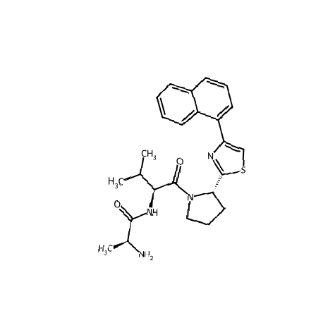 CC(C)[C@H](NC(=O)[C@H](C)N)C(=O)N1CCC[C@H]1c1nc(-c2cccc3ccccc23)cs1